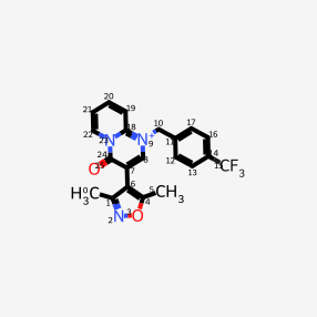 Cc1noc(C)c1-c1c[n+](Cc2ccc(C(F)(F)F)cc2)c2ccccn2c1=O